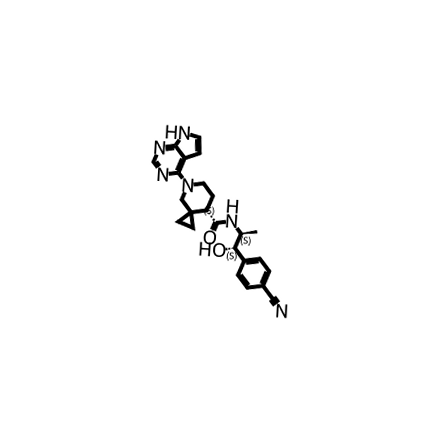 C[C@H](NC(=O)[C@H]1CCN(c2ncnc3[nH]ccc23)CC12CC2)[C@@H](O)c1ccc(C#N)cc1